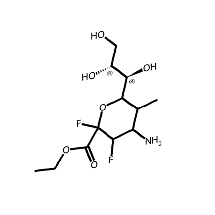 CCOC(=O)C1(F)OC([C@H](O)[C@H](O)CO)C(C)C(N)C1F